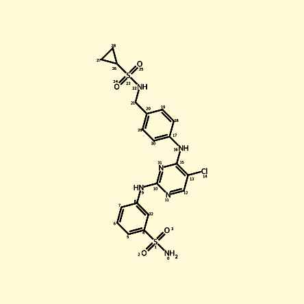 NS(=O)(=O)c1cccc(Nc2ncc(Cl)c(Nc3ccc(CNS(=O)(=O)C4CC4)cc3)n2)c1